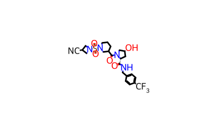 N#CC1CN(S(=O)(=O)N2CCCC(C(=O)N3C[C@H](O)C[C@@H]3C(=O)NCc3ccc(C(F)(F)F)cc3)C2)C1